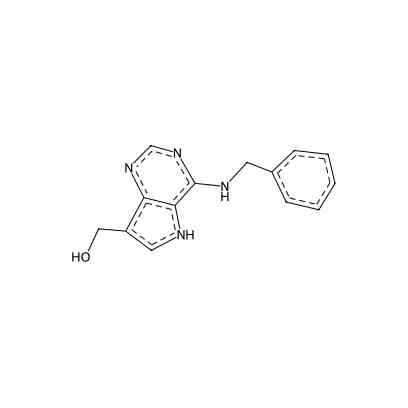 OCc1c[nH]c2c(NCc3ccccc3)ncnc12